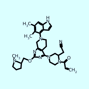 C=CC(=O)N1CCN(c2nc(OCC3CCCN3C)nc3c2CCN(c2c(C)c(C)cc4[nH]ccc24)C3)CC1CC#N